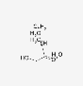 O.O.O.O=C(S)CO.[CaH2]